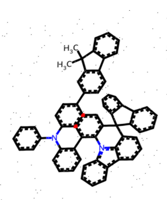 CC1(C)c2ccccc2-c2ccc(-c3ccc(N(c4ccccc4)c4ccccc4-c4cccc5c4-n4c6ccccc6c6cccc(c64)C54c5ccccc5-c5ccccc54)cc3)cc21